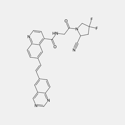 N#CC1CC(F)(F)CN1C(=O)CNC(=O)c1ccnc2ccc(/C=C/c3ccc4ncncc4c3)cc12